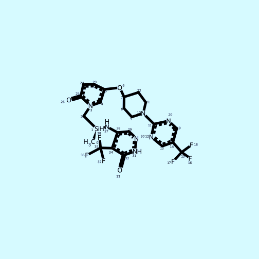 C[Si@@H](Cn1cc(OC2CCN(c3ncc(C(F)(F)F)cn3)CC2)ccc1=O)Nc1cn[nH]c(=O)c1C(F)(F)F